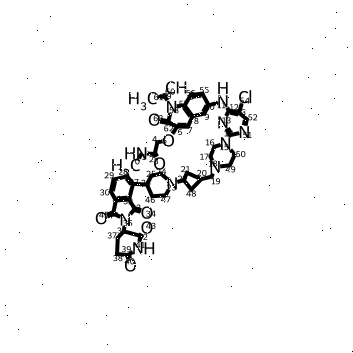 CNC(=O)COc1cc2cc(Nc3nc(N4CCN(CC5CC(N6CCC(c7cccc8c7C(=O)N(C7CCC(=O)NC7=O)C8=O)CC6)C5)CC4)ncc3Cl)ccc2n(C(C)C)c1=O